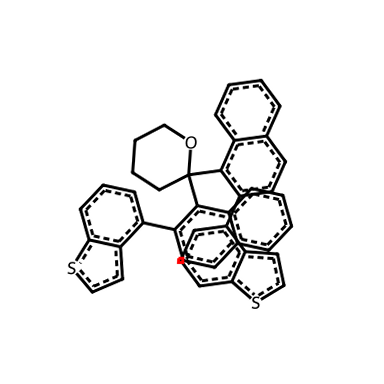 c1ccc2c(C3(c4c(-c5cccc6sccc56)ccc5ccccc45)CCCCO3)c(-c3cccc4sccc34)ccc2c1